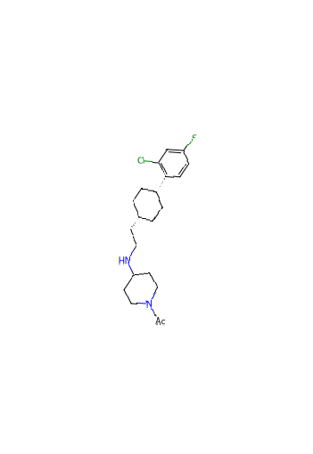 CC(=O)N1CCC(NCC[C@H]2CC[C@@H](c3ccc(F)cc3Cl)CC2)CC1